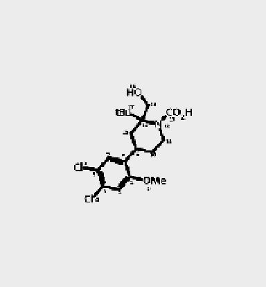 COc1cc(Cl)c(Cl)cc1C1CCN(C(=O)O)C(CO)(C(C)(C)C)C1